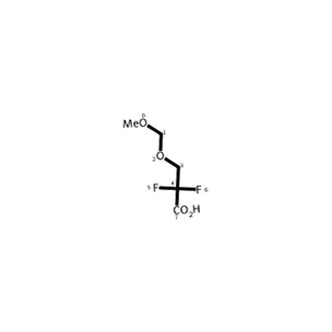 COCOCC(F)(F)C(=O)O